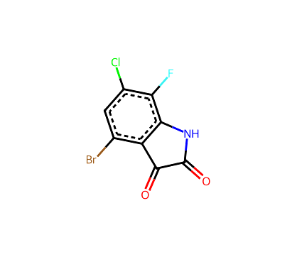 O=C1Nc2c(F)c(Cl)cc(Br)c2C1=O